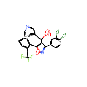 OC(c1cccnc1)c1c(-c2ccc(Cl)c(Cl)c2)noc1-c1ccccc1C(F)(F)F